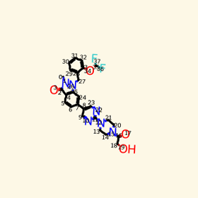 Cn1c(=O)c2ccc(-c3cnc(N4CCN(C(=O)CO)CC4)nc3)cc2n1Cc1ccccc1OC(F)F